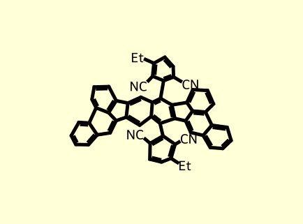 CCc1ccc(C#N)c(-c2c3cc4c(cc3c(-c3c(C#N)ccc(CC)c3C#N)c3c5cc6ccccc6c6cccc(c23)c65)c2cc3ccccc3c3cccc4c32)c1C#N